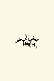 C=CC(P)[SiH]([Ir])C(P)C=C